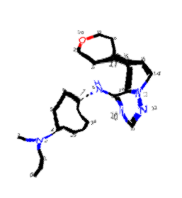 CCN(C)[C@H]1CC[C@H](Nc2ncnn3ccc(C4CCOCC4)c23)CC1